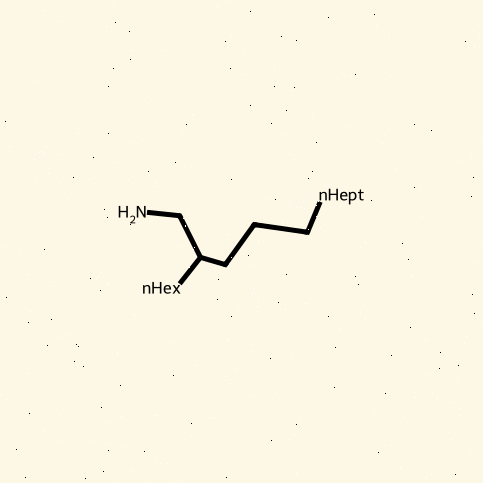 CCCCCCCCCCC(CN)CCCCCC